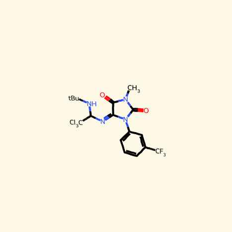 CN1C(=O)C(=NC(NC(C)(C)C)C(Cl)(Cl)Cl)N(c2cccc(C(F)(F)F)c2)C1=O